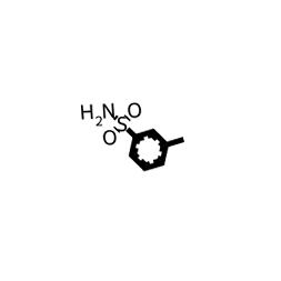 Cc1cccc(S(N)(=O)=O)c1